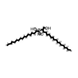 CCCCCCCCCCCCCCCC(O)C(=O)NC(CO)C(O)CCCCCCCCCCCCCCC